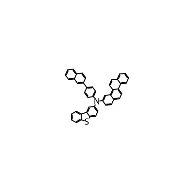 c1ccc2cc(-c3ccc(N(c4ccc5ccc6c7ccccc7ccc6c5c4)c4ccc5sc6ccccc6c5c4)cc3)ccc2c1